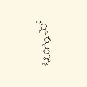 COC(=O)Cc1ccc(Oc2ccnc(COc3ccc(C)cc3F)c2)nc1